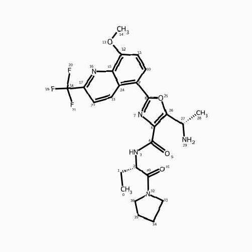 CC[C@H](NC(=O)c1nc(-c2ccc(OC)c3nc(C(F)(F)F)ccc23)oc1[C@H](C)N)C(=O)N1CCCC1